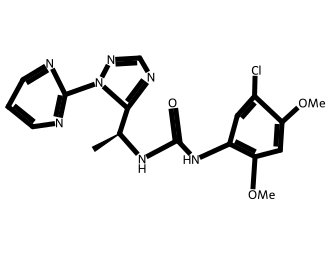 COc1cc(OC)c(NC(=O)N[C@@H](C)c2ncnn2-c2ncccn2)cc1Cl